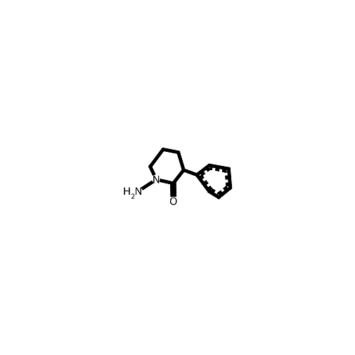 NN1CCCC(c2ccccc2)C1=O